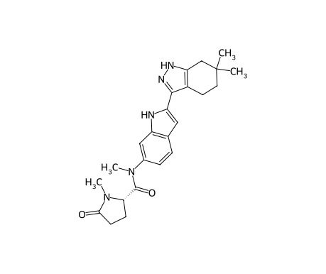 CN(C(=O)[C@@H]1CCC(=O)N1C)c1ccc2cc(-c3n[nH]c4c3CCC(C)(C)C4)[nH]c2c1